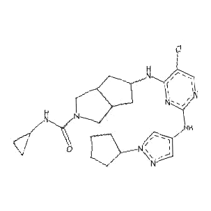 O=C(NC1CC1)N1CC2CC(Nc3nc(Nc4cnn(C5CCCC5)c4)ncc3Cl)CC2C1